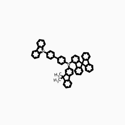 CC1(C)c2ccccc2-c2ccc(N(c3ccc(-c4ccc(-n5c6ccccc6c6ccccc65)cc4)cc3)c3cccc4c3-c3ccccc3C43c4ccccc4-c4ccccc43)cc21